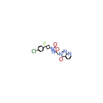 O=c1c2cccnc2ncn1Cc1nn(C2CC(F)(c3ccc(Cl)cc3)C2)c(=O)o1